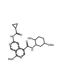 CNc1ncc(C(=O)NC2CC(OC)CCC2O)c2cc(NC(=O)C3CC3)ncc12